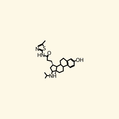 Cc1cnc(NC(=O)CC[C@@H]2CC(NC(C)C)[C@@]3(C)CCC4c5ccc(O)cc5CCC4C23)s1